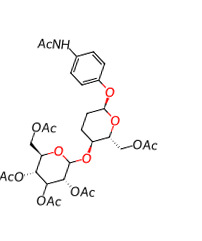 CC(=O)Nc1ccc(O[C@@H]2CC[C@H](OC3O[C@H](COC(C)=O)[C@@H](OC(C)=O)C(OC(C)=O)[C@H]3OC(C)=O)[C@@H](COC(C)=O)O2)cc1